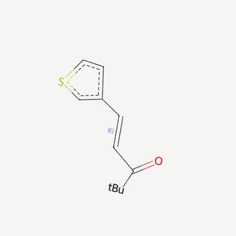 CC(C)(C)C(=O)/C=C/c1ccsc1